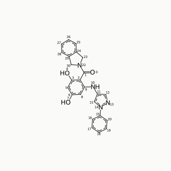 O=C(c1c(O)cc(O)cc1Nc1cnn(-c2ccccc2)c1)N1Cc2ccccc2C1